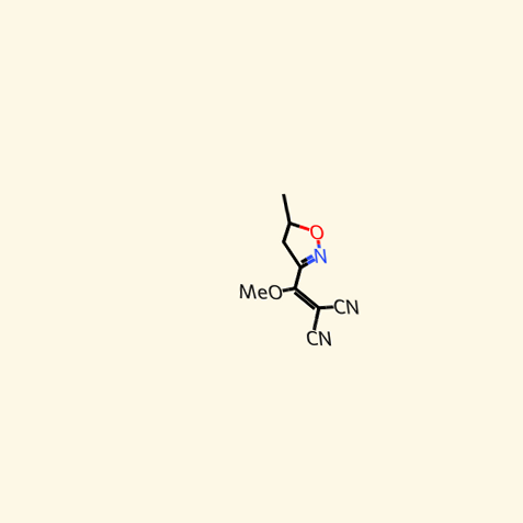 COC(C1=NOC(C)C1)=C(C#N)C#N